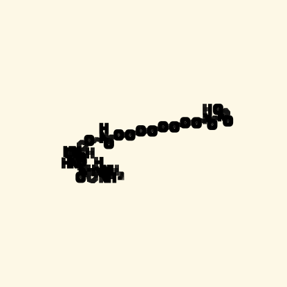 N=C(N)Nc1cccc(C(=O)NCC(=O)N[C@@H](CC(=O)O)C(=O)Nc2ccc(OCCCNC(=O)CCOCCOCCOCCOCCOCCOCCOCCOCCNC(=O)CCN3C(=O)C=CC3=O)cc2)c1